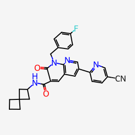 N#Cc1ccc(-c2cnc3c(c2)cc(C(=O)NC2CC4(CCC4)C2)c(=O)n3Cc2ccc(F)cc2)nc1